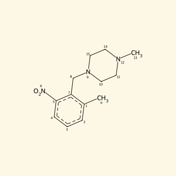 Cc1cccc([N+](=O)[O-])c1CN1CCN(C)CC1